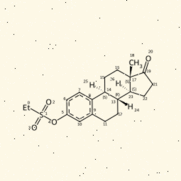 CCS(=O)(=O)Oc1ccc2c(c1)CC[C@@H]1[C@@H]2CC[C@]2(C)C(=O)CC[C@@H]12